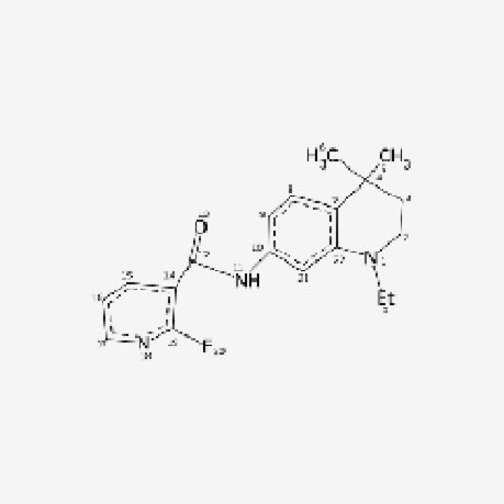 CCN1CCC(C)(C)c2ccc(NC(=O)c3cccnc3F)cc21